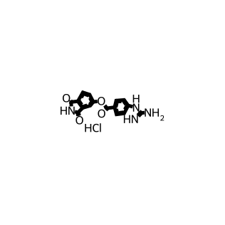 Cl.N=C(N)Nc1ccc(C(=O)Oc2ccc3c(c2)C(=O)NC3=O)cc1